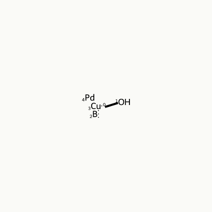 CO.[B].[Cu].[Pd]